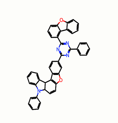 C1=CC2C(c3ccccc3N2c2ccccc2)c2c1oc1cc(-c3nc(-c4ccccc4)nc(-c4cccc5oc6ccccc6c45)n3)ccc21